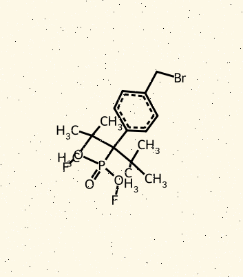 CC(C)(C)C(c1ccc(CBr)cc1)(C(C)(C)C)P(=O)(OF)OF